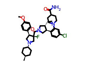 CC[C@H]1CN(C(=O)[C@]2(F)CN([C@H]3CC[C@H](C)CC3)C[C@H]2c2ccc(OC)cc2)C[C@@H]1c1ccc(Cl)cc1N1CCC(C(N)=O)CC1